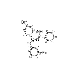 O=C(Nc1cc(Br)cnc1OCc1cccc(F)c1)c1ccccc1